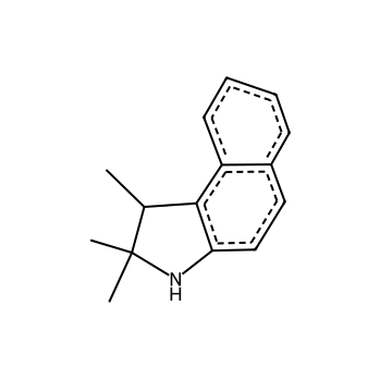 CC1c2c(ccc3ccccc23)NC1(C)C